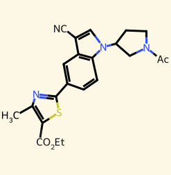 CCOC(=O)c1sc(-c2ccc3c(c2)c(C#N)cn3C2CCN(C(C)=O)C2)nc1C